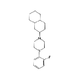 Fc1ccccc1N1CCN(C2CCC3CCCCC3C2)CC1